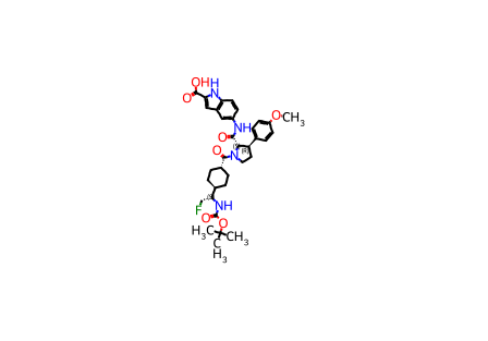 COc1ccc([C@H]2CCN(C(=O)[C@H]3CC[C@H]([C@@H](CF)NC(=O)OC(C)(C)C)CC3)[C@@H]2C(=O)Nc2ccc3[nH]c(C(=O)O)cc3c2)cc1